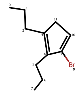 CCCC1=C(CCC)C(Br)=[C]C1